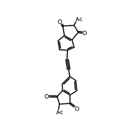 CC(=O)C1C(=O)c2ccc(C#Cc3ccc4c(c3)C(=O)C(C(C)=O)C4=O)cc2C1=O